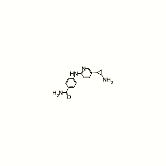 NC(=O)c1ccc(Nc2ccc(C3CC3N)cn2)cc1